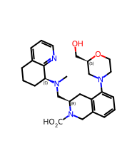 CN(C[C@H]1Cc2c(cccc2N2CCO[C@H](CO)C2)CN1C(=O)O)[C@H]1CCCc2cccnc21